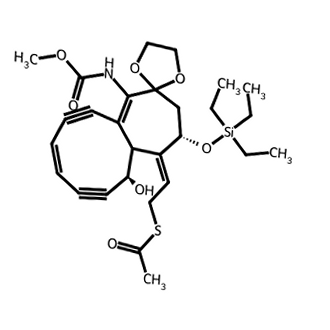 CC[Si](CC)(CC)O[C@H]1CC2(OCCO2)C(NC(=O)OC)=C2C#C/C=C\C#C[C@H](O)C2/C1=C\CSC(C)=O